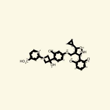 O=C(O)c1ccnc(N2CC(O)(c3ccc(OCC4=C(C5CC5)ONC4c4c(Cl)cccc4Cl)cc3Cl)C2)c1